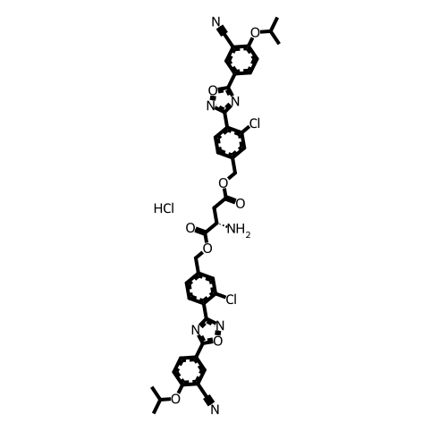 CC(C)Oc1ccc(-c2nc(-c3ccc(COC(=O)C[C@H](N)C(=O)OCc4ccc(-c5noc(-c6ccc(OC(C)C)c(C#N)c6)n5)c(Cl)c4)cc3Cl)no2)cc1C#N.Cl